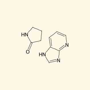 O=C1CCCN1.c1cnc2nc[nH]c2c1